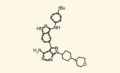 CC(C)(C)c1ccc(Nc2n[nH]c3ccc(-c4nn(C5CCC(N6CCOCC6)CC5)c5ncnc(N)c45)cc23)cc1